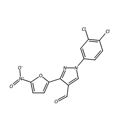 O=Cc1cn(-c2ccc(Cl)c(Cl)c2)nc1-c1ccc([N+](=O)[O-])o1